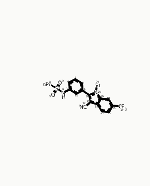 CCCS(=O)(=O)Nc1cccc(-c2c(C#N)c3ccc(C(F)(F)F)cc3n2CC)c1